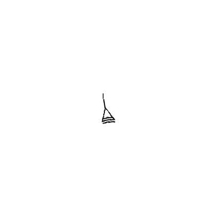 IC1C#C1